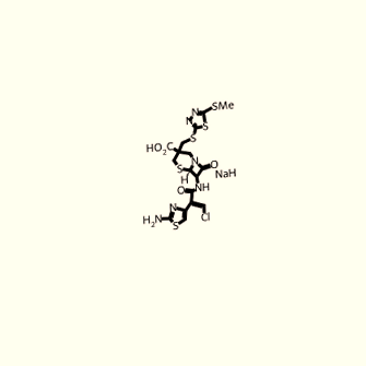 CSc1nnc(SCC2(C(=O)O)CS[C@@H]3C(NC(=O)C(=CCl)c4csc(N)n4)C(=O)N3C2)s1.[NaH]